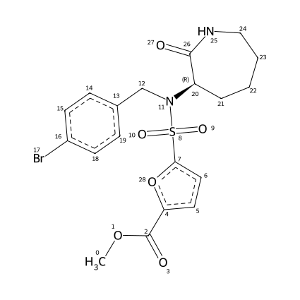 COC(=O)c1ccc(S(=O)(=O)N(Cc2ccc(Br)cc2)[C@@H]2CCCCNC2=O)o1